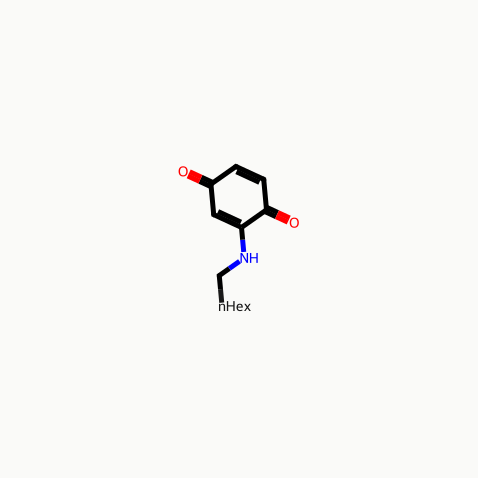 CCCCCCCNC1=CC(=O)C=CC1=O